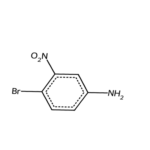 Nc1ccc(Br)c([N+](=O)[O-])c1